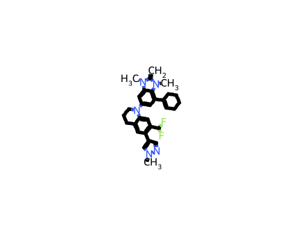 C=C1N(C)c2cc(N3CCCc4cc(-c5cnn(C)c5)c(C(F)F)cc43)cc(C3=CCCCC3)c2N1C